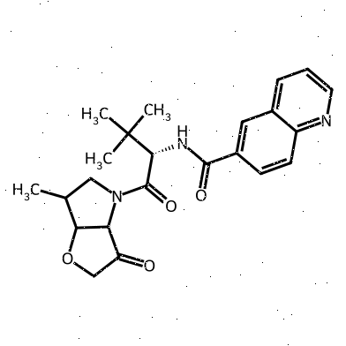 CC1CN(C(=O)[C@@H](NC(=O)c2ccc3ncccc3c2)C(C)(C)C)C2C(=O)COC12